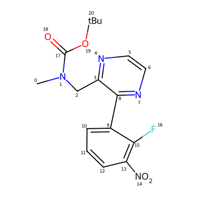 CN(Cc1nccnc1-c1cccc([N+](=O)[O-])c1F)C(=O)OC(C)(C)C